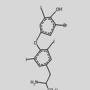 NC(Cc1cc(I)c(Oc2cc(Br)c(O)c(I)c2)c(I)c1)C(=O)O